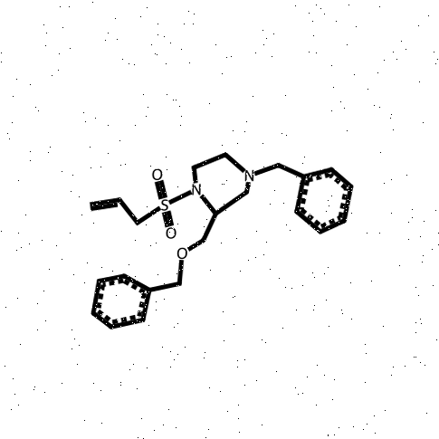 C=CCS(=O)(=O)N1CCN(Cc2ccccc2)CC1COCc1ccccc1